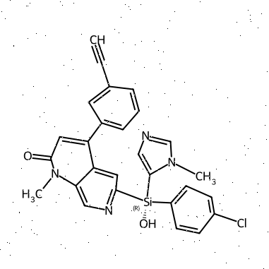 C#Cc1cccc(-c2cc(=O)n(C)c3cnc([Si@](O)(c4ccc(Cl)cc4)c4cncn4C)cc23)c1